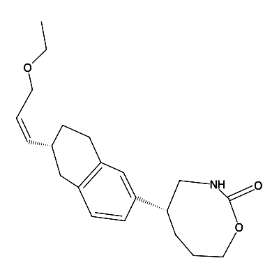 CCOC/C=C\[C@@H]1CCc2cc([C@H]3CCCOC(=O)NC3)ccc2C1